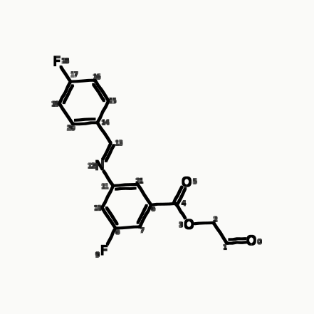 O=CCOC(=O)c1cc(F)cc(N=Cc2ccc(F)cc2)c1